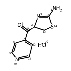 Cl.NC1=N[C@H](C(=O)c2ccncc2)CS1